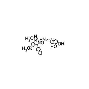 COc1ccc2c(c1)C(c1ccc(Cl)cc1)=N[C@@H](CC(=O)NCCc1ccc3c(O)c(O)ccc3n1)c1nnc(C)n1-2